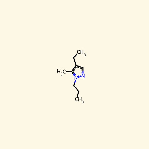 CCCn1ncc(CC)c1C